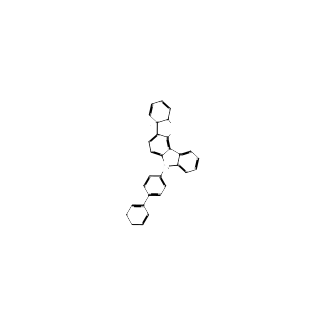 C1=CC2Oc3c(ccc4c3c3ccccc3n4-c3ccc(C4=CCCC=C4)cc3)[C@H]2C=C1